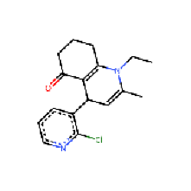 CCN1C(C)=CC(c2cccnc2Cl)C2=C1CCCC2=O